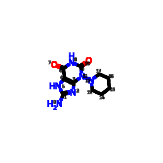 Nc1nc2c([nH]1)c(=O)[nH]c(=O)n2N1CCCCC1